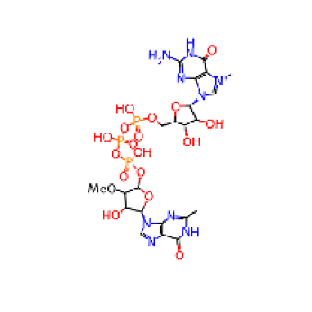 COC1[C@@H](OP(=O)(O)OP(=O)(O)OP(=O)(O)OC[C@H]2O[C@@H](n3c[n+](C)c4c(=O)[nH]c(N)nc43)C(O)[C@H]2O)O[C@@H](n2cnc3c(=O)[nH]c(C)nc32)[C@H]1O